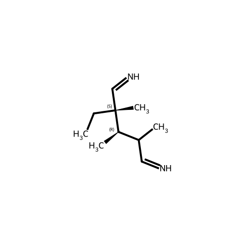 CC[C@](C)(C=N)[C@H](C)C(C)C=N